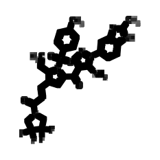 C=Cc1c(/C=C/C(=O)N2CC(F)(F)C(F)(F)C2)cc(C(=O)c2cnn(-c3ccc4[nH]c(C)nc4c3)c2N)n1S(=O)(=O)c1ccc(C)cc1